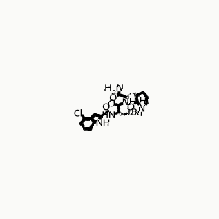 CC(C)(C)C[C@H](NC(=O)c1cc2c(Cl)cccc2[nH]1)C(=O)N[C@@H](C[C@@H]1CCCNC1=O)C(N)=O